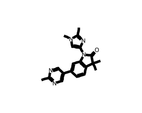 Cc1ncc(-c2ccc3c(c2)N(c2cn(C)c(C)n2)C(=O)C3(C)C)cn1